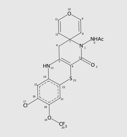 CC(=O)NN1C(=O)C2=C(CC13C=COC=C3)Nc1cc(Cl)c(OC(F)(F)F)cc1S2